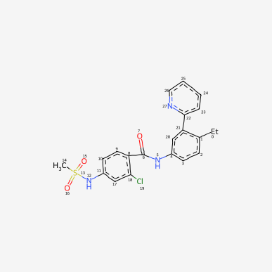 CCc1ccc(NC(=O)c2ccc(NS(C)(=O)=O)cc2Cl)cc1-c1ccccn1